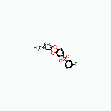 CN(C)CC1COc2ccc(S(=O)(=O)c3cccc(F)c3)cc2O1